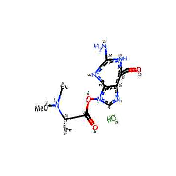 CCN(OC)[C@H](C(=O)On1cnc2c(=O)[nH]c(N)nc21)C(C)C.Cl